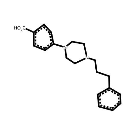 O=C(O)c1ccc(N2CCN(CCCc3ccccc3)CC2)cc1